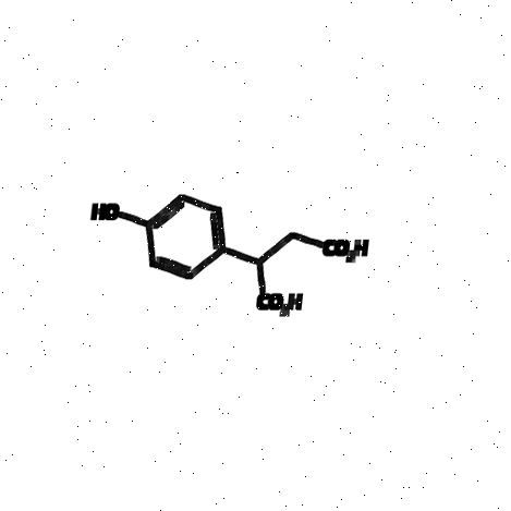 O=C(O)CC(C(=O)O)c1ccc(O)cc1